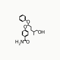 CC(CO)CCC(Oc1ccccc1)Oc1ccc(C(N)=O)cc1